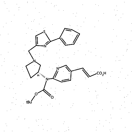 CC(C)(C)OC(=O)N(c1ccc(C=CC(=O)O)cn1)[C@@H]1CCN(Cc2csc(-c3ccccc3)n2)C1